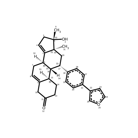 C[C@]1(O)CC=C2[C@@H]3CC=C4CC(=O)CC[C@@H]4[C@H]3[C@@H](c3ccc(-c4ccoc4)cc3)C[C@@]21C